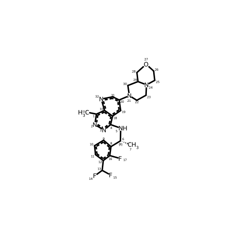 Cc1nnc(N[C@H](C)c2cccc(C(F)F)c2F)c2cc(N3CCN4CCOCC4C3)cnc12